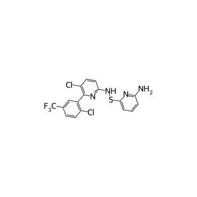 Nc1cccc(SNc2ccc(Cl)c(-c3cc(C(F)(F)F)ccc3Cl)n2)n1